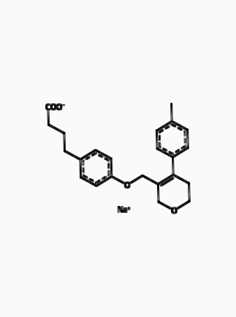 Cc1ccc(C2=C(COc3ccc(CCCC(=O)[O-])cc3)COCC2)cc1.[Na+]